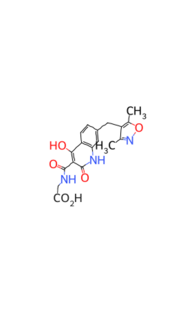 Cc1noc(C)c1Cc1ccc2c(O)c(C(=O)NCC(=O)O)c(=O)[nH]c2c1